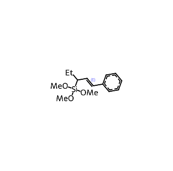 CCC(/C=C/c1ccccc1)[Si](OC)(OC)OC